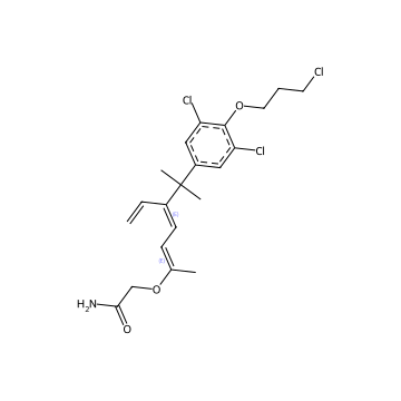 C=C/C(=C\C=C(/C)OCC(N)=O)C(C)(C)c1cc(Cl)c(OCCCCl)c(Cl)c1